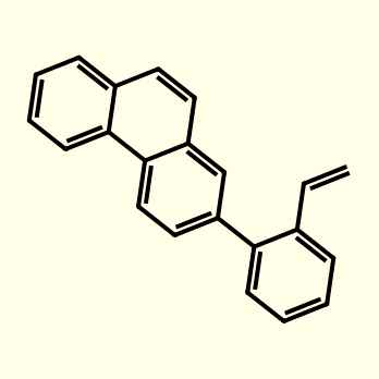 C=Cc1ccccc1-c1ccc2c(ccc3ccccc32)c1